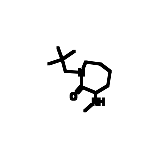 CNC1CCCCN(CC(C)(C)C)C1=O